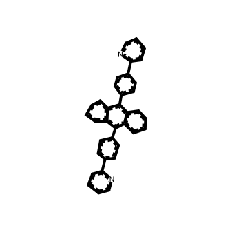 c1ccc(-c2ccc(-c3c4ccccc4c(-c4ccc(-c5ccccn5)cc4)c4ccccc34)cc2)nc1